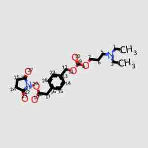 CCN(CC)CCCOC(=O)OCc1ccc(CC(=O)ON2C(=O)CCC2=O)cc1